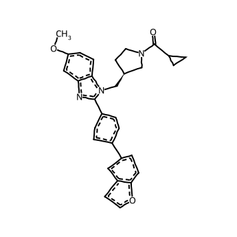 COc1ccc2c(c1)nc(-c1ccc(-c3ccc4occc4c3)cc1)n2C[C@H]1CCN(C(=O)C2CC2)C1